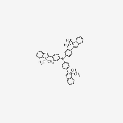 C[Si]1(C)C(c2ccc(N(c3ccc(C4=Cc5ccccc5[Si]4(C)C)cc3)c3ccc(C4=Cc5ccccc5[Si]4(C)C)cc3)cc2)=Cc2ccccc21